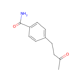 CC(=O)CCc1ccc(C(N)=O)cc1